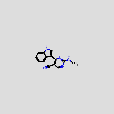 CNc1ncc(C#N)c(-c2c[nH]c3ccccc23)n1